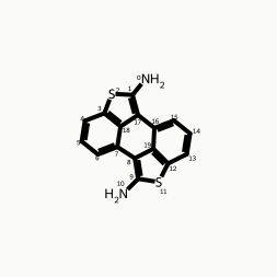 Nc1sc2cccc3c4c(N)sc5cccc(c1c23)c54